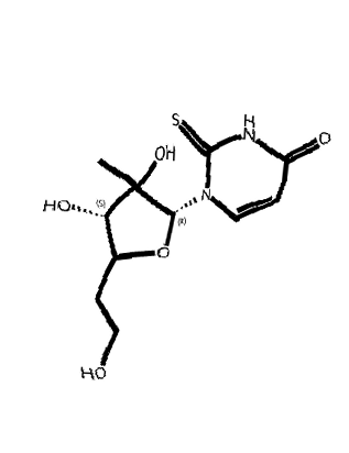 CC1(O)[C@@H](O)C(CCO)O[C@H]1n1ccc(=O)[nH]c1=S